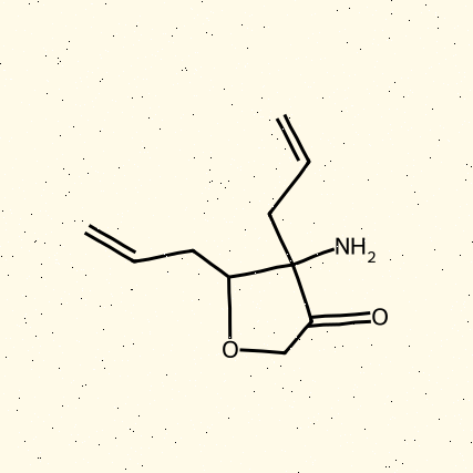 C=CCC1OCC(=O)C1(N)CC=C